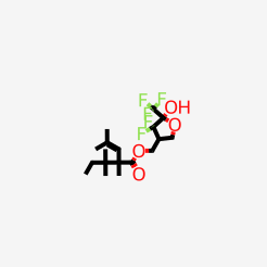 CCC(C)(C)C(C)(C=C(C)C)C(=O)OCC1COC(O)(C(F)(F)F)C1(F)F